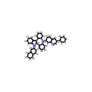 c1ccc(-c2cnc3cc(N4c5ccccc5-c5c(n(-c6ccc7ccccc7c6)c6ccccc56)-c5ccccc54)ccc3c2)cc1